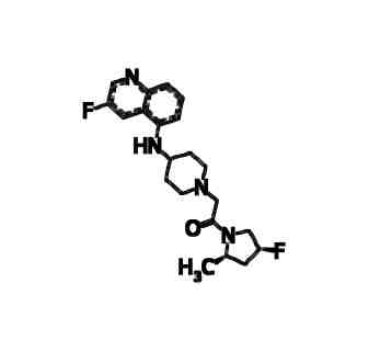 C[C@@H]1C[C@H](F)CN1C(=O)CN1CCC(Nc2cccc3ncc(F)cc23)CC1